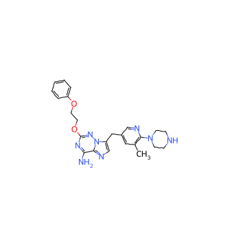 Cc1cc(Cc2cnc3c(N)nc(OCCOc4ccccc4)nn23)cnc1N1CCNCC1